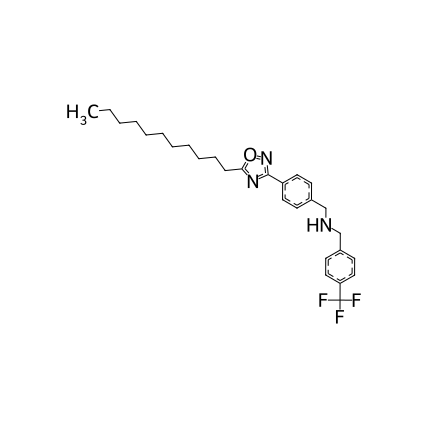 CCCCCCCCCCCc1nc(-c2ccc(CNCc3ccc(C(F)(F)F)cc3)cc2)no1